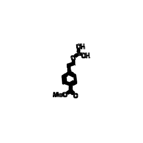 COC(=O)c1ccc(CCOB(O)O)cc1